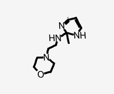 CC1(NCCN2CCOCC2)N=[C]C=CN1